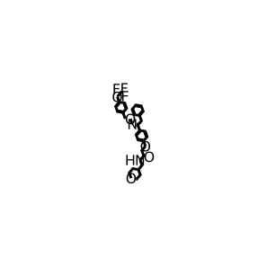 O=C(COc1ccc(C(Cc2ccccc2)=NOCc2ccc(OC(F)(F)F)cc2)cc1)NCC1CCOCC1